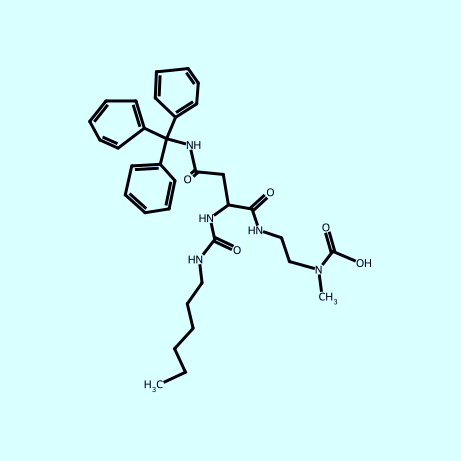 CCCCCCNC(=O)NC(CC(=O)NC(c1ccccc1)(c1ccccc1)c1ccccc1)C(=O)NCCN(C)C(=O)O